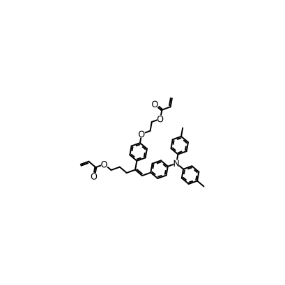 C=CC(=O)OCCCC(=Cc1ccc(N(c2ccc(C)cc2)c2ccc(C)cc2)cc1)c1ccc(OCCOC(=O)C=C)cc1